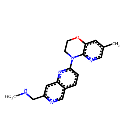 Cc1cnc2c(c1)OCCN2c1ccc2cnc(CNC(=O)O)cc2n1